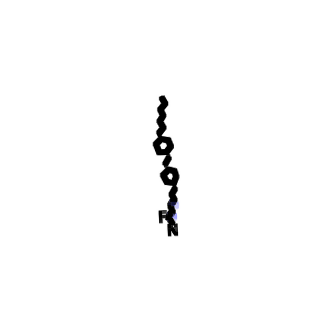 CCCCCCC[C@H]1CC[C@H](CC[C@H]2CC[C@H](CC/C=C/C=C(\F)C#N)CC2)CC1